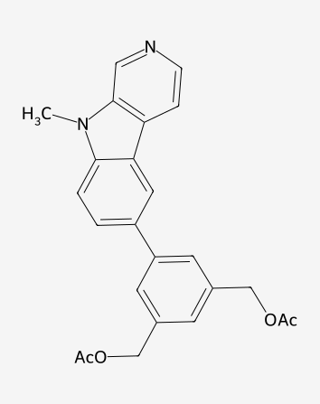 CC(=O)OCc1cc(COC(C)=O)cc(-c2ccc3c(c2)c2ccncc2n3C)c1